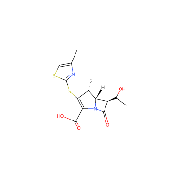 Cc1csc(SC2=C(C(=O)O)N3C(=O)[C@H](C(C)O)[C@H]3[C@H]2C)n1